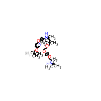 CC(C)(C)COc1ccc(O[C@H]2C[C@@H](NC(C)(C)CC(C)(C)COCCO[C@H]3C[C@H](OCCNC(C)(C)C)C3)C2)nc1